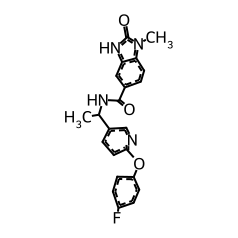 CC(NC(=O)c1ccc2c(c1)[nH]c(=O)n2C)c1ccc(Oc2ccc(F)cc2)nc1